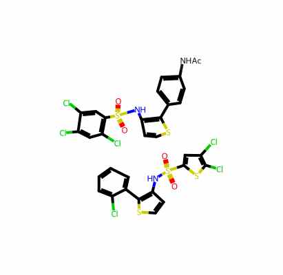 CC(=O)Nc1ccc(-c2sccc2NS(=O)(=O)c2cc(Cl)c(Cl)cc2Cl)cc1.O=S(=O)(Nc1ccsc1-c1ccccc1Cl)c1cc(Cl)c(Cl)s1